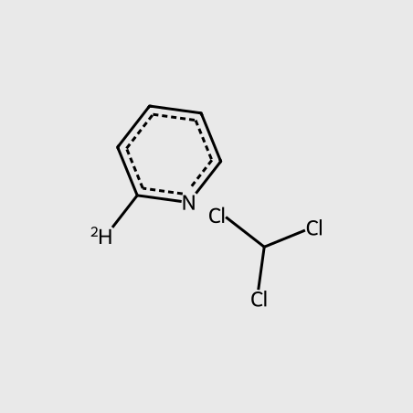 ClC(Cl)Cl.[2H]c1ccccn1